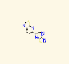 [c]1nc2ncc(-c3ccc4ncsc4n3)nc2s1